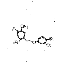 CCc1cc(OCCc2cc(O)c(F)cc2C(C)C)ccc1C(C)C